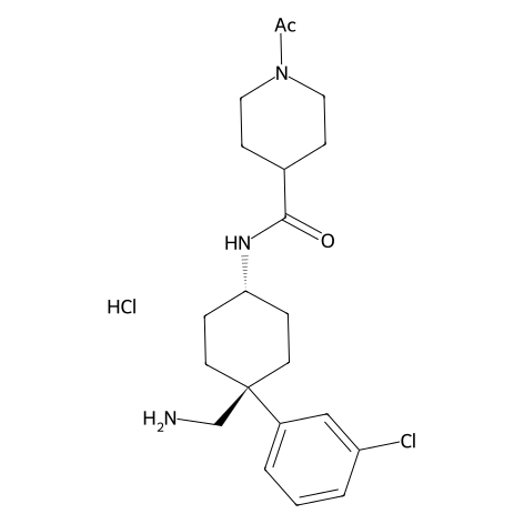 CC(=O)N1CCC(C(=O)N[C@H]2CC[C@@](CN)(c3cccc(Cl)c3)CC2)CC1.Cl